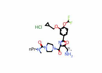 CCCN(C)C(=O)N1CCN(C(=O)c2nc(-c3ccc(OC(F)F)c(OCC4CC4)c3)oc2[C@H](C)N)CC1.Cl